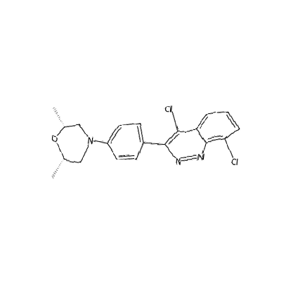 C[C@@H]1CN(c2ccc(-c3nnc4c(Cl)cccc4c3Cl)cc2)C[C@H](C)O1